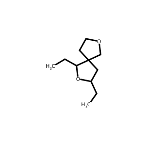 CCC1CC2(CCOC2)C(CC)O1